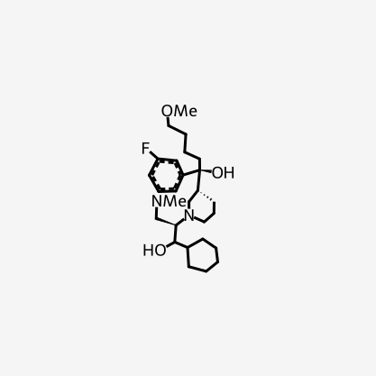 CNC[C@H](C(O)C1CCCCC1)N1CCC[C@@H]([C@@](O)(CCCCOC)c2cccc(F)c2)C1